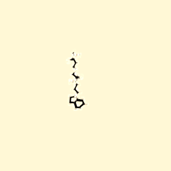 CNC(=O)CCSCC(=O)NCCCN1CCc2ccccc21